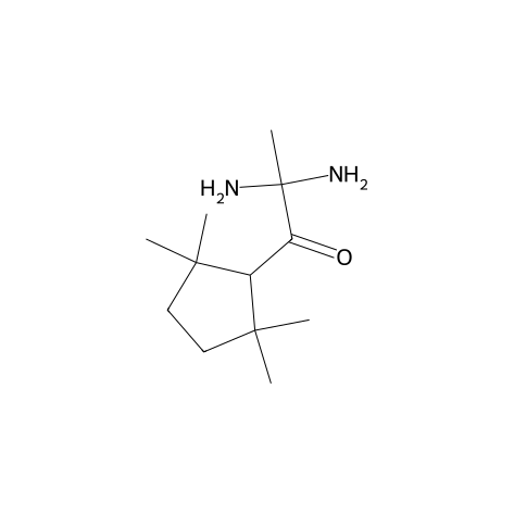 CC(N)(N)C(=O)C1C(C)(C)CCC1(C)C